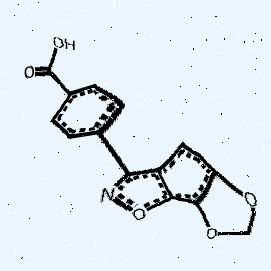 O=C(O)c1ccc(-c2noc3c4c(ccc23)OCO4)cc1